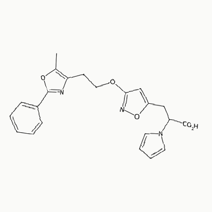 Cc1oc(-c2ccccc2)nc1CCOc1cc(CC(C(=O)O)n2cccc2)on1